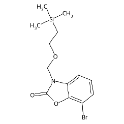 C[Si](C)(C)CCOCn1c(=O)oc2c(Br)cccc21